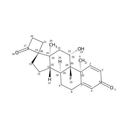 C[C@]12C=CC(=O)C=C1CC[C@H]1[C@@H]3CC[C@@]4(CCC4=O)[C@@]3(C)C[C@H](O)[C@@]12F